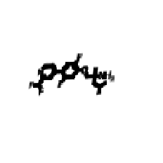 CC(C)CC(C)(N)COc1cc(F)c(-c2ccnc(C(F)F)c2)cc1F